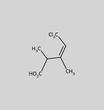 CC(=CC(Cl)(Cl)Cl)C(C)C(=O)O